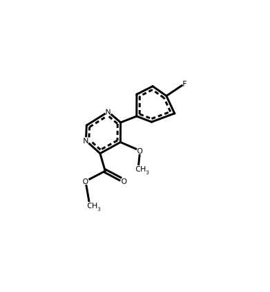 COC(=O)c1ncnc(-c2ccc(F)cc2)c1OC